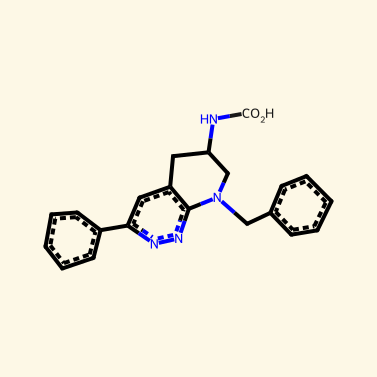 O=C(O)NC1Cc2cc(-c3ccccc3)nnc2N(Cc2ccccc2)C1